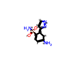 NC1=CC=C(S(N)(=O)=O)C(=C2C=CN=N2)C1